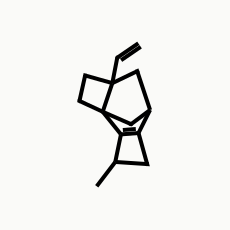 C=CC12CCC13CC(C2)C1=C3C(C)C1